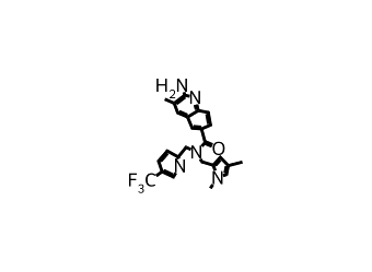 Cc1cc(CN(Cc2ccc(C(F)(F)F)cn2)C(=O)c2ccc3nc(N)c(C)cc3c2)n(C)c1